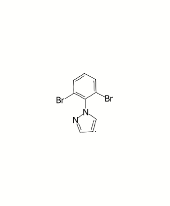 Brc1cccc(Br)c1-n1c[c]cn1